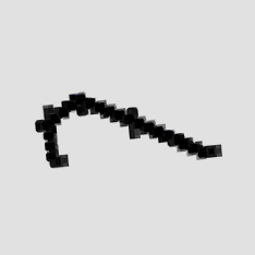 O=C(NCSCSC/N=C\[S+]([O-])CSCSCSCSC(=O)NCSCSC/N=C/OOCSCSCO)OCSCSCO